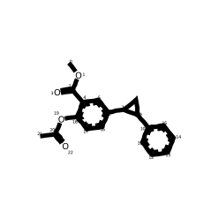 COC(=O)c1cc(C2CC2c2ccccc2)ccc1OC(C)=O